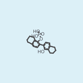 O=P(O)(O)Oc1c(-c2ccc3c(c2O)CCCC3)ccc2c1CCCC2